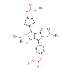 CCCCC(CC)CN1C(=O)C2=C(c3ccc(OC(O)OC(C)(C)C)cc3)N(CC(CC)CCCC)C(=O)C2=C1c1ccc(OC(=O)OC(C)(C)C)cc1